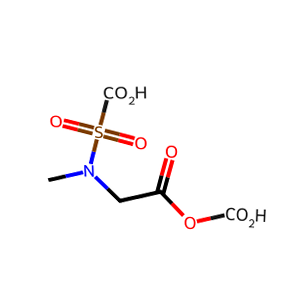 CN(CC(=O)OC(=O)O)S(=O)(=O)C(=O)O